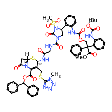 COC(=O)C(COC(=O)Nc1ccccc1C1CN(C(=O)NCC(=O)N[C@H]2S[C@H]3CC(=O)N3C(C(=O)OC(c3ccccc3)c3ccccc3)=C2CSc2nnnn2C)C(=O)N1S(C)(=O)=O)(c1ccccc1)c1ccccc1NC(=O)OC(C)(C)C